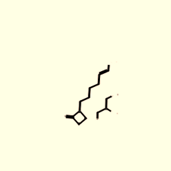 CCCCCCCCC=CCCCCC1CCC1=O.OCC(O)CO